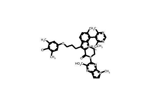 Cc1cc(OCCCc2c3n(c4c(-c5c(C)ncnc5C)c(Cl)ccc24)[C@H](C)CN(c2nc4c(ccn4C)nc2C(=O)O)C3=O)cc(C)c1Cl